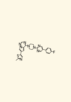 Cc1ncc(-c2cc3c(N4CCN(c5ncc(-c6ccc(F)cc6)cn5)CC4)ncnn3c2)s1